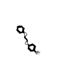 CC(C)c1ccc(OCCOc2ccccc2)cc1